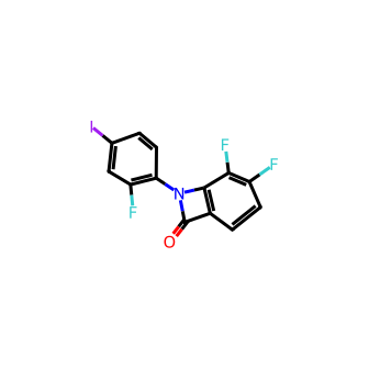 O=C1c2ccc(F)c(F)c2N1c1ccc(I)cc1F